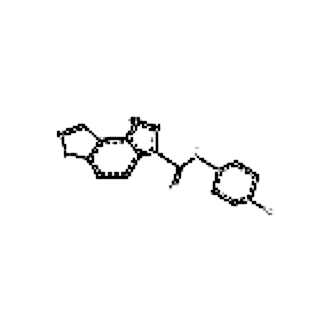 O=C(Nc1ccc(Cl)cc1)c1n[nH]c2c3c(ccc12)[N]N=C3